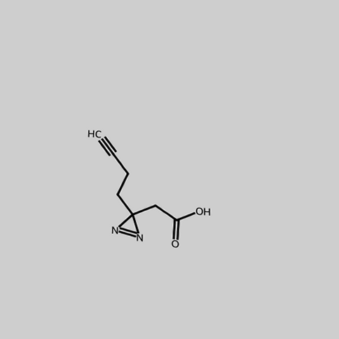 C#CCCC1(CC(=O)O)N=N1